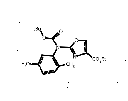 CCOC(=O)c1coc(N(C(=O)OC(C)(C)C)c2cc(C(F)(F)F)ccc2C)n1